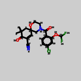 CC1(C)CC2(C=C(C#N)C1=O)CN(C(=O)c1ccc(Cl)cc1OC(F)F)CCO2